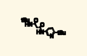 CC(C)(C)NC(=O)CC(=O)Nc1ccc(C(C)(C)C)nc1